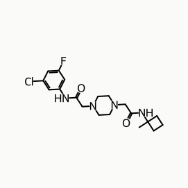 CC1(NC(=O)CN2CCN(CC(=O)Nc3cc(F)cc(Cl)c3)CC2)CCC1